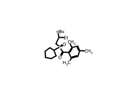 CCCCC(CC)CP(=O)(C(=O)c1c(C)cc(C)cc1C)C1CCCCC1